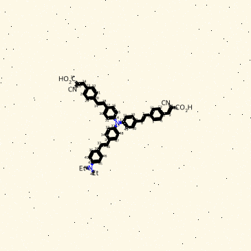 [C-]#[N+]/C(=C\c1ccc(/C=C/c2ccc(N(c3ccc(/C=C/c4ccc(/C=C(\[N+]#[C-])C(=O)O)cc4)cc3)c3ccc(/C=C/c4ccc(N(CC)CC)cc4)cc3)cc2)cc1)C(=O)O